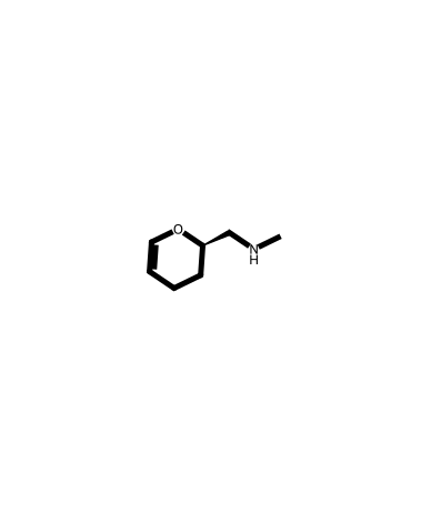 CNC[C@H]1CCC=CO1